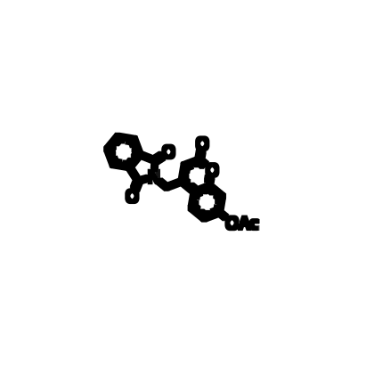 CC(=O)Oc1ccc2c(CN3C(=O)c4ccccc4C3=O)cc(=O)oc2c1